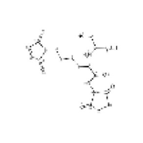 NC(CS)C(=O)O.O=C(CCCCCN1C(=O)C=CC1=O)ON1C(=O)CCC1=O